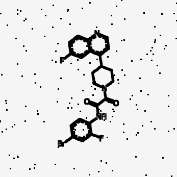 O=C(Nc1ccc(Br)cc1F)C(=O)N1CCC(c2ccnc3ccc(F)cc23)CC1